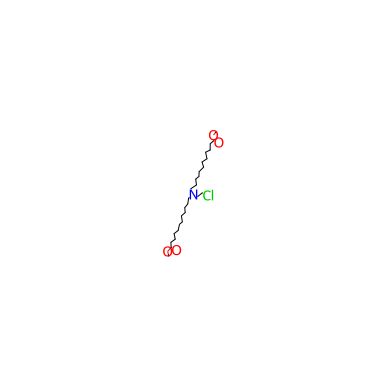 COC(=O)CCCCCCCCCCCN(CCCl)CCCCCCCCCCCC(=O)OC